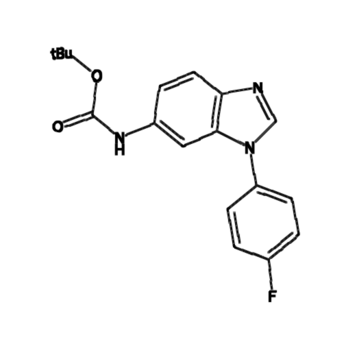 CC(C)(C)OC(=O)Nc1ccc2ncn(-c3ccc(F)cc3)c2c1